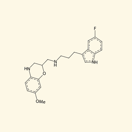 COc1ccc2c(c1)OC(CNCCCc1c[nH]c3ccc(F)cc13)CN2